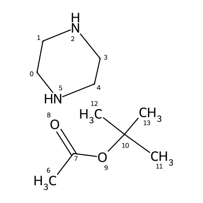 C1CNCCN1.CC(=O)OC(C)(C)C